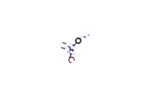 CCNC(=O)Nc1ccc(-c2nc(N3CCOCC3C)c3nc(C4(O)CCOCC4)n(C)c3n2)cc1